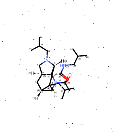 CC(=O)N1C[C@@H]2C[C@H]3CN(CC(C)C)[C@@H]([C@@H]2CC(C)C)[C@]31C(=O)NCC(C)C